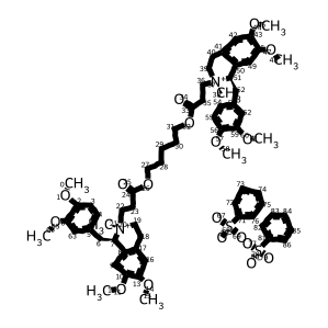 COc1ccc(C[C@@H]2c3cc(OC)c(OC)cc3CC[N@+]2(C)CCC(=O)OCCCCCOC(=O)CC[N@@+]2(C)CCc3cc(OC)c(OC)cc3[C@H]2Cc2ccc(OC)c(OC)c2)cc1OC.O=S(=O)([O-])c1ccccc1.O=S(=O)([O-])c1ccccc1